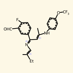 CC/C(C)=C/N=C(\C=C(/C)Nc1ccc(OC(F)(F)F)cc1)c1ccc(F)c(C=O)c1